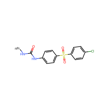 CCCNC(=O)Nc1ccc(S(=O)(=O)c2ccc(Cl)cc2)cc1